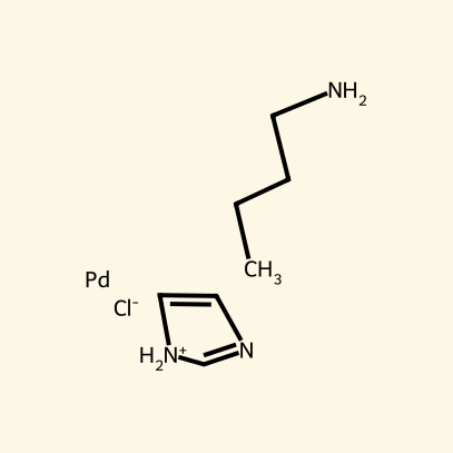 C1=C[NH2+]C=N1.CCCCN.[Cl-].[Pd]